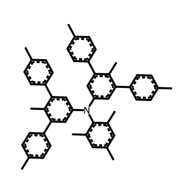 Cc1ccc(-c2cc(N(c3cc(-c4ccc(C)cc4)c(C)c(-c4ccc(C)cc4)c3)c3c(C)cc(C)cc3C)cc(-c3ccc(C)cc3)c2C)cc1